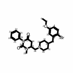 CCOc1ccc(Br)c(CC2CCN(CC3CC(=O)N(c4ccccc4)C(=O)N3C)CC2)c1